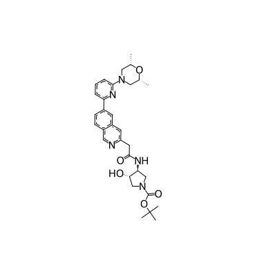 C[C@@H]1CN(c2cccc(-c3ccc4cnc(CC(=O)N[C@H]5CN(C(=O)OC(C)(C)C)C[C@@H]5O)cc4c3)n2)C[C@H](C)O1